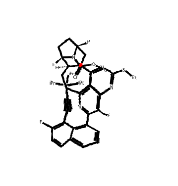 CCSc1nc2c3c(nc(-c4cccc5ccc(F)c(C#C[Si](C(C)C)(C(C)C)C(C)C)c45)c(F)c3n1)CC[C@H]1[C@@H]3CC[C@H](CN21)N3C(=O)OC(C)(C)C